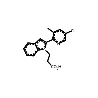 Cc1cc(Cl)cnc1-c1cc2ccccc2n1CCC(=O)O